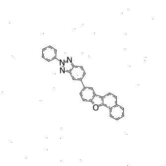 c1ccc(-n2nc3ccc(-c4ccc5oc6c7ccccc7ccc6c5c4)cc3n2)cc1